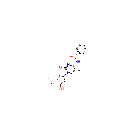 Cc1cn([C@H]2C[C@@H](O)[C@H](C(C)C)O2)c(=O)nc1NC(=O)c1ccccc1